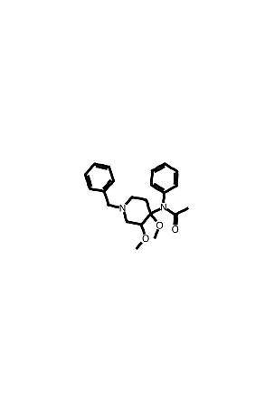 COC1CN(Cc2ccccc2)CCC1(OC)N(C(C)=O)c1ccccc1